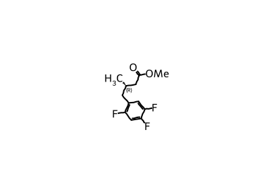 COC(=O)C[C@H](C)Cc1cc(F)c(F)cc1F